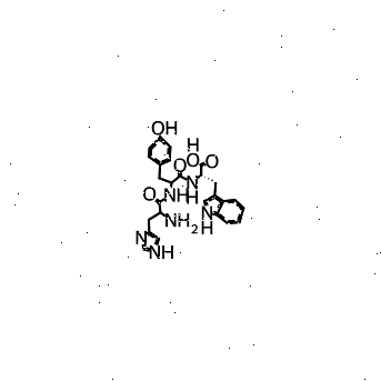 NC(Cc1c[nH]cn1)C(=O)NC(Cc1ccc(O)cc1)C(=O)N[C@@H](Cc1c[nH]c2ccccc12)C(=O)O